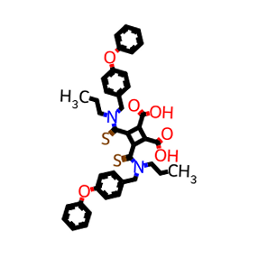 CCCN(Cc1ccc(Oc2ccccc2)cc1)C(=S)C1C(C(=O)O)C(C(=O)O)C1C(=S)N(CCC)Cc1ccc(Oc2ccccc2)cc1